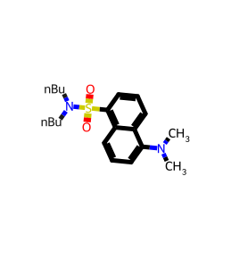 CCCCN(CCCC)S(=O)(=O)c1cccc2c(N(C)C)cccc12